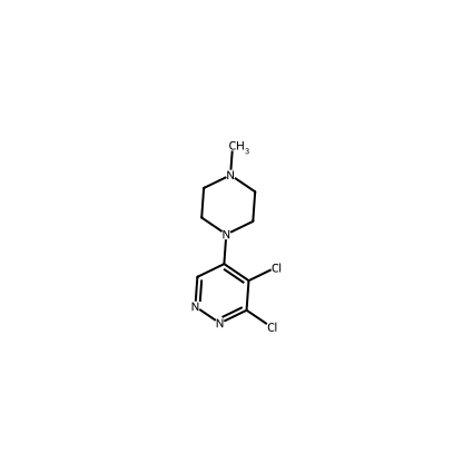 CN1CCN(c2cnnc(Cl)c2Cl)CC1